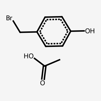 CC(=O)O.Oc1ccc(CBr)cc1